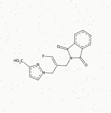 O=C(O)c1ccn(CC(=CF)CN2C(=O)c3ccccc3C2=O)n1